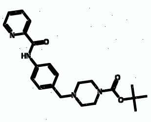 CC(C)(C)OC(=O)N1CCN(Cc2ccc(NC(=O)c3ccccn3)cc2)CC1